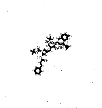 CC(C)(C)OC(=O)n1cc(CC(CS(=O)(=O)C(C)(C)C)C(=O)N[C@@H](Cc2ccc(F)cc2)[C@@H](O)[C@@H](O)C2CC2)nc1NC(=O)CCc1ccccc1